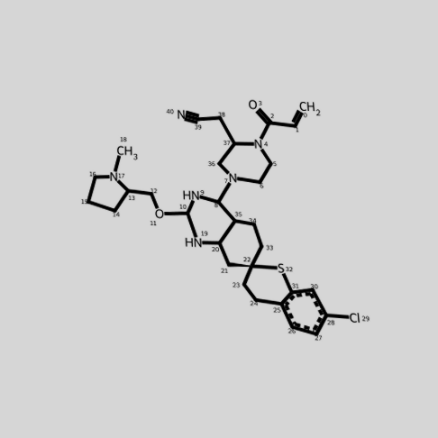 C=CC(=O)N1CCN(C2NC(OCC3CCCN3C)NC3C[C@@]4(CCc5ccc(Cl)cc5S4)CCC32)CC1CC#N